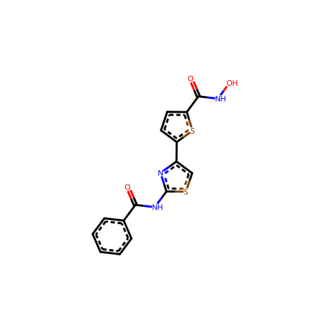 O=C(Nc1nc(-c2ccc(C(=O)NO)s2)cs1)c1ccccc1